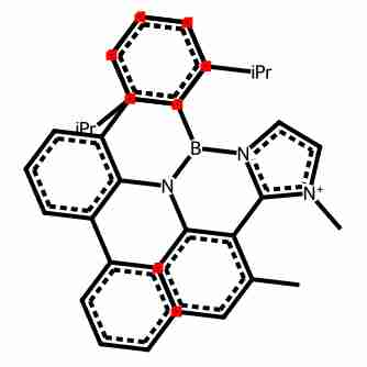 Cc1cccc2c1-c1n(cc[n+]1C)B(c1c(C(C)C)cccc1C(C)C)N2c1c(-c2ccccc2)cccc1-c1ccccc1